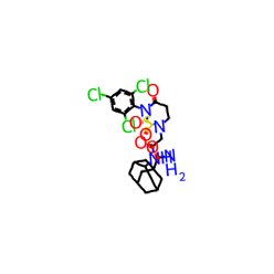 NC(=O)C12CC3CC(C1)C(NC(=O)CN1CCC(=O)N(c4c(Cl)cc(Cl)cc4Cl)S1(=O)=O)C(C3)C2